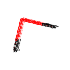 [Ba+2].[Ba+2].[Ba+2].[Ba+2].[Ba+2].[O-2].[O-2].[O-2].[O-2].[O-2].[O-2].[O-2].[O-2].[O-2].[O-2].[O-2].[O-2].[O-2].[O-2].[O-2].[O-2].[O-2].[O-2].[O-2].[O-2].[O-2].[O-2].[O-2].[O-2].[O-2].[O-2].[O-2].[O-2].[O-2].[O-2].[O-2].[O-2].[O-2].[O-2].[O-2].[O-2].[O-2].[O-2].[O-2].[O-2].[O-2].[O-2].[O-2].[O-2].[O-2].[O-2].[O-2].[O-2].[O-2].[O-2].[O-2].[O-2].[O-2].[O-2].[O-2].[Ti+4].[Ti+4].[Ti+4].[Ti+4].[Ti+4].[Ti+4].[Ti+4].[Ti+4].[Ti+4].[Ti+4].[Ti+4].[Ti+4].[Ti+4].[Ti+4].[Ti+4].[Ti+4].[Ti+4].[Ti+4].[Ti+4].[Ti+4].[Ti+4].[Ti+4].[Ti+4].[Ti+4].[Ti+4]